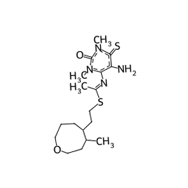 C/C(=N\c1c(N)c(=S)n(C)c(=O)n1C)SCCC1CCCOCCC1C